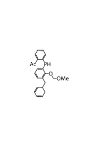 COCOc1c(CC2C=CC=CC2)cccc1Pc1ccccc1C(C)=O